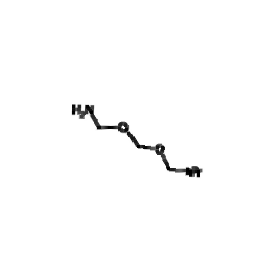 CCCCOCOCN